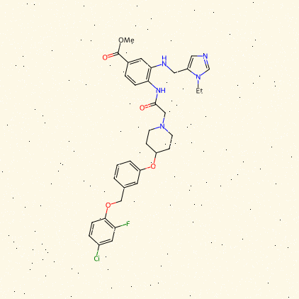 CCn1cncc1CNc1cc(C(=O)OC)ccc1NC(=O)CN1CCC(Oc2cccc(COc3ccc(Cl)cc3F)c2)CC1